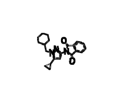 O=C1c2ccccc2C(=O)N1c1cc(C2CC2)n(CC2CCCCC2)n1